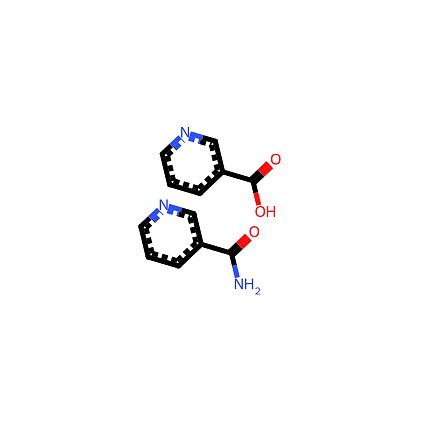 NC(=O)c1cccnc1.O=C(O)c1cccnc1